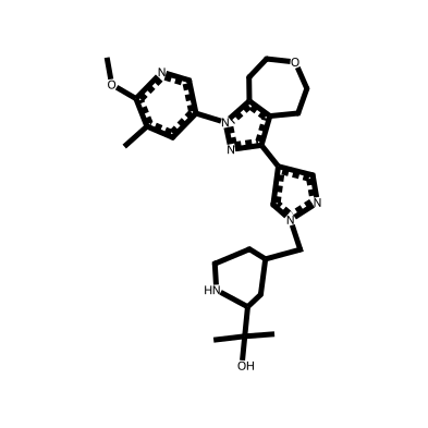 COc1ncc(-n2nc(-c3cnn(CC4CCNC(C(C)(C)O)C4)c3)c3c2CCOCC3)cc1C